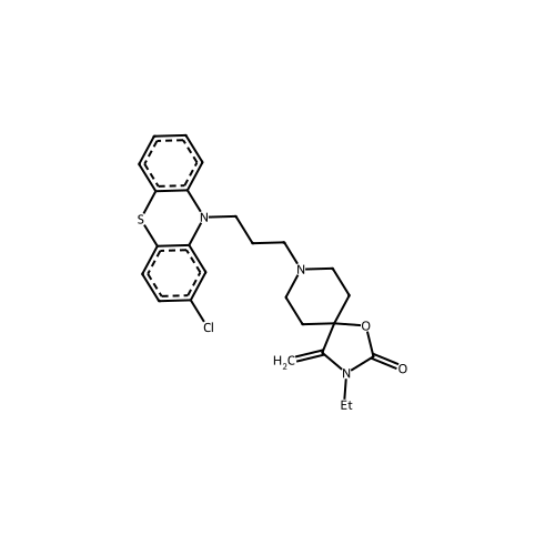 C=C1N(CC)C(=O)OC12CCN(CCCN1c3ccccc3Sc3ccc(Cl)cc31)CC2